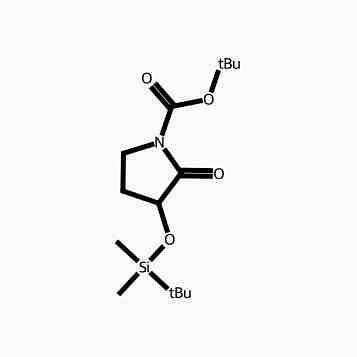 CC(C)(C)OC(=O)N1CCC(O[Si](C)(C)C(C)(C)C)C1=O